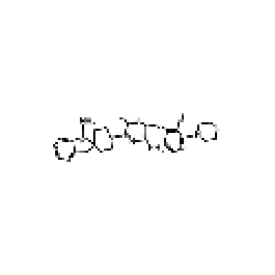 Cc1nc(Sc2ccnc(N3CCOCC3)c2Cl)c(N)nc1N1CCC2(CC1)Cc1ccccc1[C@H]2N